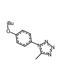 CCC(C)Oc1ccc(-n2nnnc2C)cc1